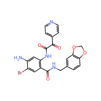 Nc1cc(NC(=O)C(=O)c2ccncc2)c(C(=O)NCc2ccc3c(c2)OCO3)cc1Br